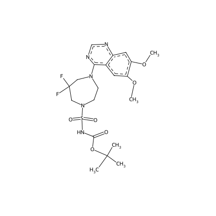 COc1cc2ncnc(N3CCN(S(=O)(=O)NC(=O)OC(C)(C)C)CC(F)(F)C3)c2cc1OC